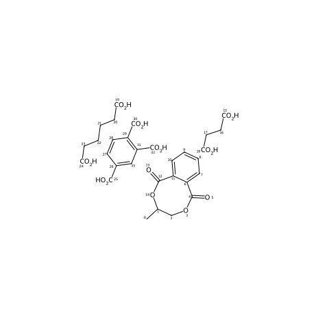 CC1COC(=O)c2ccccc2C(=O)O1.O=C(O)CCC(=O)O.O=C(O)CCCCC(=O)O.O=C(O)c1ccc(C(=O)O)c(C(=O)O)c1